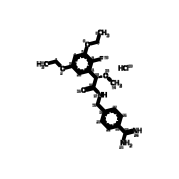 CCOc1cc(OCC)c(F)c([C@H](OC)C(=O)NCc2ccc(C(=N)N)cc2)c1.Cl